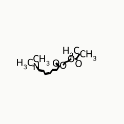 C=C(C)C(=O)OCCOC(=O)/C=C/C=C\C=C\N(CC)CC